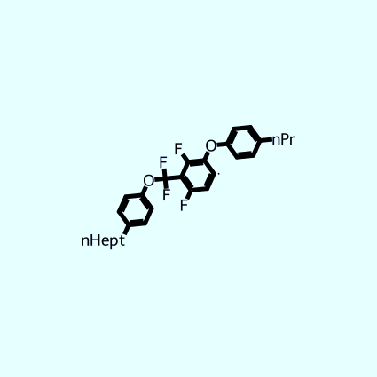 CCCCCCCc1ccc(OC(F)(F)c2c(F)c[c]c(Oc3ccc(CCC)cc3)c2F)cc1